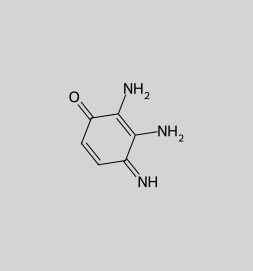 N=C1C=CC(=O)C(N)=C1N